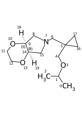 CC(C)OCC1(CN2C[C@@H]3OCCO[C@@H]3C2)CC1